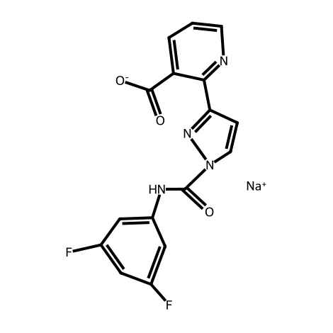 O=C([O-])c1cccnc1-c1ccn(C(=O)Nc2cc(F)cc(F)c2)n1.[Na+]